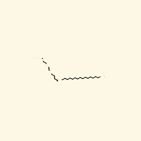 CCCCCCCCCCOCCOCCOCCCC(=O)OCCCCCCCCCCCCCCCC(C)C